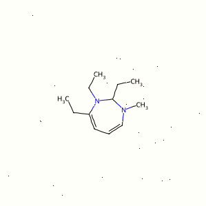 CCC1=CC=CN(C)C(CC)N1CC